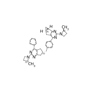 C[C@H]1CCN1c1nc2c(c(-c3ccccc3)n1)C[C@H](Cc1ccc(-c3nc(N4CC[C@@H]4C)nc4c3C[C@H]3C[C@@H]43)cc1)C2